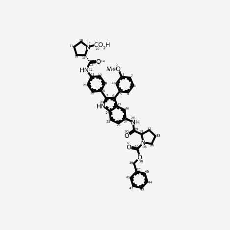 COc1cccc(-c2c(-c3ccc(NC(=O)[C@@H]4CCCN4C(=O)O)cc3)[nH]c3ccc(NC(=O)C4CCCN4C(=O)OCc4ccccc4)cc23)c1